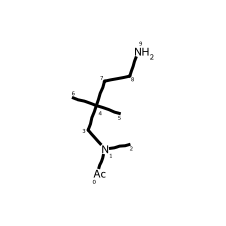 CC(=O)N(C)CC(C)(C)CCN